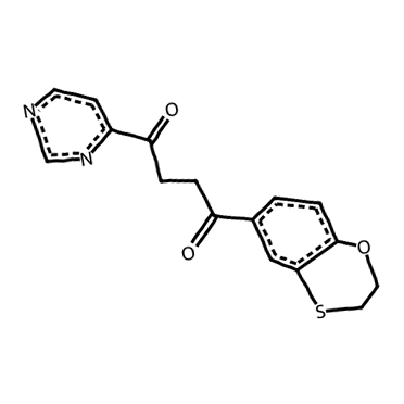 O=C(CCC(=O)c1ccncn1)c1ccc2c(c1)SCCO2